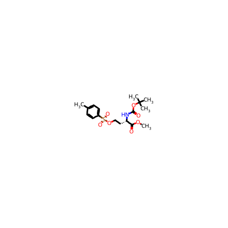 COC(=O)[C@H](CCOS(=O)(=O)c1ccc(C)cc1)NC(=O)OC(C)(C)C